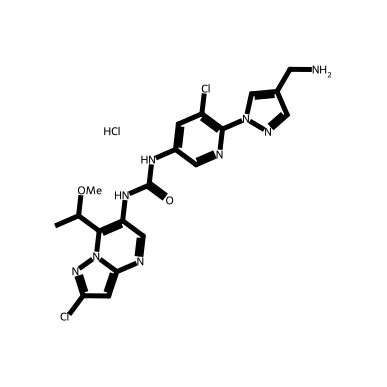 COC(C)c1c(NC(=O)Nc2cnc(-n3cc(CN)cn3)c(Cl)c2)cnc2cc(Cl)nn12.Cl